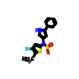 O=C(O)c1sc(N(c2c[nH]c(-c3ccccc3)c2)[SH](=O)=O)cc1F